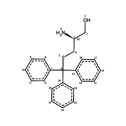 N[C@@H](CO)CSC(c1ccccc1)(c1ccccc1)c1ccccc1